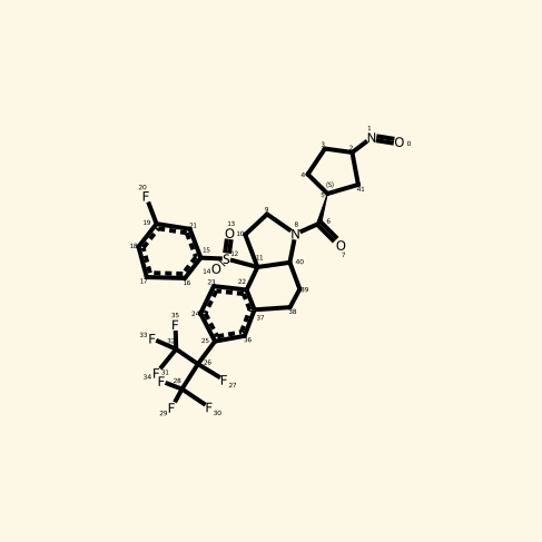 O=NC1CC[C@H](C(=O)N2CCC3(S(=O)(=O)c4cccc(F)c4)c4ccc(C(F)(C(F)(F)F)C(F)(F)F)cc4CCC23)C1